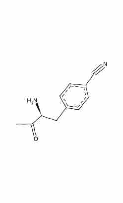 CC(=O)[C@@H](N)Cc1ccc(C#N)cc1